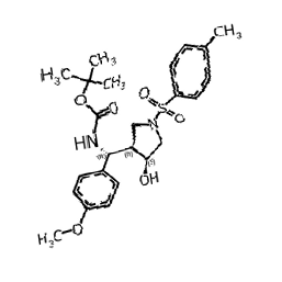 COc1ccc([C@H](NC(=O)OC(C)(C)C)[C@H]2CN(S(=O)(=O)c3ccc(C)cc3)C[C@H]2O)cc1